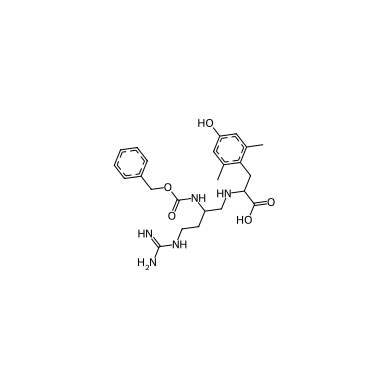 Cc1cc(O)cc(C)c1CC(NCC(CCNC(=N)N)NC(=O)OCc1ccccc1)C(=O)O